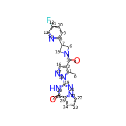 Cc1c(C(=O)N2CC(c3ccc(F)cn3)C2)cnn1-c1nn2cccc2c(=O)[nH]1